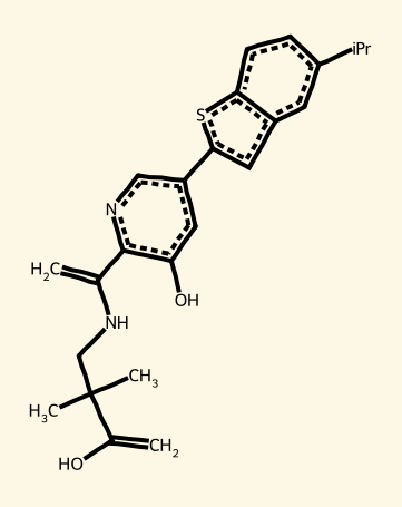 C=C(NCC(C)(C)C(=C)O)c1ncc(-c2cc3cc(C(C)C)ccc3s2)cc1O